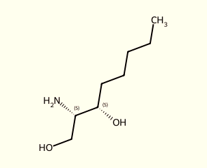 CCCCC[C@H](O)[C@@H](N)CO